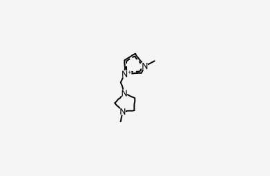 CN1CCN(C[n+]2ccn(C)c2)C1